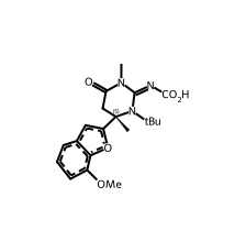 COc1cccc2cc([C@]3(C)CC(=O)N(C)C(=NC(=O)O)N3C(C)(C)C)oc12